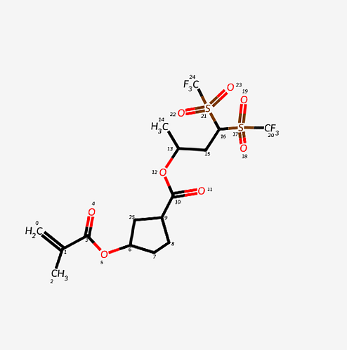 C=C(C)C(=O)OC1CCC(C(=O)OC(C)CC(S(=O)(=O)C(F)(F)F)S(=O)(=O)C(F)(F)F)C1